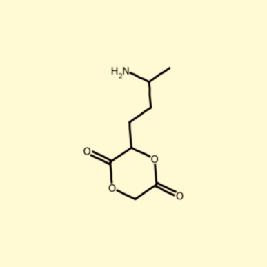 CC(N)CCC1OC(=O)COC1=O